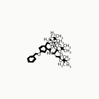 CC(C)(C)OC(=O)C[C@H](NC(=O)c1cc(OCc2ccccc2)ccc1CO[Si](C)(C)C(C)(C)C)C(=O)OC(C)(C)C